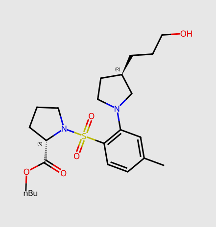 CCCCOC(=O)[C@@H]1CCCN1S(=O)(=O)c1ccc(C)cc1N1CC[C@@H](CCCO)C1